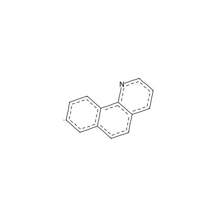 [c]1ccc2c(c1)ccc1cccnc12